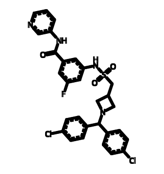 O=C(Nc1cccnc1)c1cc(F)cc(NS(=O)(=O)CC2CN(C(c3ccc(Cl)cc3)c3ccc(Cl)cc3)C2)c1